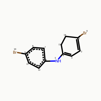 BrC1=CC=C(Nc2ccc(Br)cc2)CC1